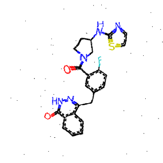 O=C(c1cc(Cc2n[nH]c(=O)c3ccccc23)ccc1F)N1CCC(Nc2nccs2)C1